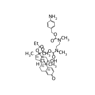 CCC(=O)O[C@]1(C(=O)COC(=O)N(C)CCN(C)C(=O)OCc2ccc(N)cc2)[C@@H](C)CC2[C@@H]3CCC4=CC(=O)C=C[C@]4(C)[C@@]3(Cl)[C@@H](O)C[C@@]21C